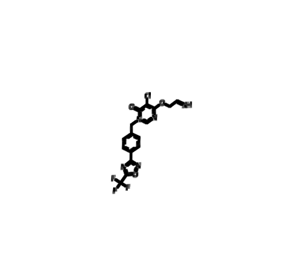 N=CCOc1ncn(Cc2ccc(-c3noc(C(F)(F)F)n3)cc2)c(=O)c1Cl